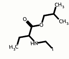 CCC(NCI)C(=O)OCC(C)C